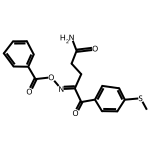 CSc1ccc(C(=O)/C(CCC(N)=O)=N/OC(=O)c2ccccc2)cc1